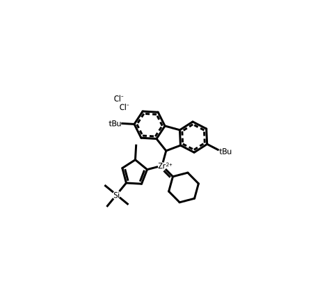 CC1C=C([Si](C)(C)C)C=[C]1[Zr+2](=[C]1CCCCC1)[CH]1c2cc(C(C)(C)C)ccc2-c2ccc(C(C)(C)C)cc21.[Cl-].[Cl-]